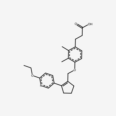 CCOc1ccc(C2=C(COc3ccc(CCC(=O)O)c(C)c3C)CCC2)cn1